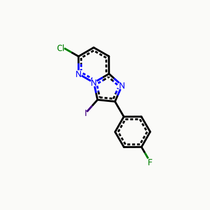 Fc1ccc(-c2nc3ccc(Cl)nn3c2I)cc1